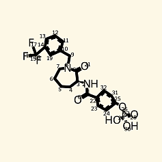 O=C(N[C@H]1CCCCN(Cc2cccc(C(F)(F)F)c2)C1=O)c1ccc(OP(=O)(O)O)cc1